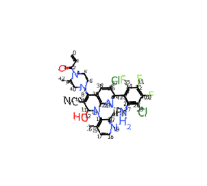 C=CC(=O)N1CCN(C2=C(C#N)C(O)N(c3c(C)ccnc3C(C)C)c3nc(-c4c(N)c(Cl)c(F)c(F)c4F)c(Cl)cc32)C[C@H]1C